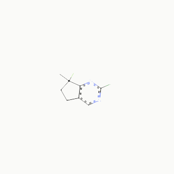 CC1(F)CCc2cnc(Cl)nc21